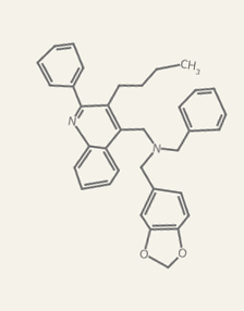 CCCCc1c(-c2ccccc2)nc2ccccc2c1CN(Cc1ccccc1)Cc1ccc2c(c1)OCO2